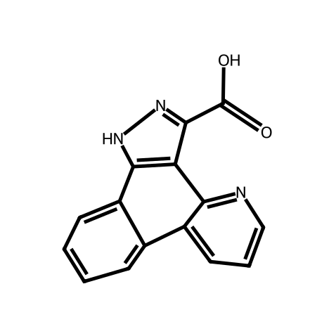 O=C(O)c1n[nH]c2c3ccccc3c3cccnc3c12